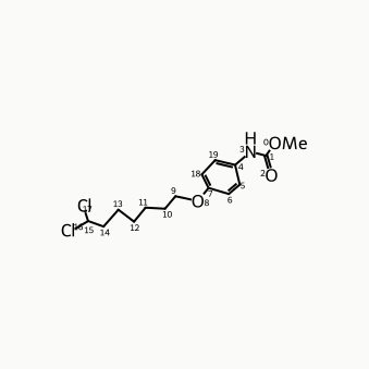 COC(=O)Nc1ccc(OCCCCCCC(Cl)Cl)cc1